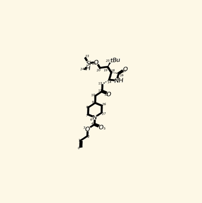 C=CCOC(=O)N1CCC(CC(=O)C[C@H]2NC(=O)[C@H]2[C@@H](CO[SiH](C)C)C(C)(C)C)CC1